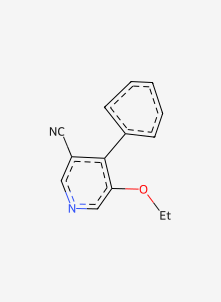 CCOc1cncc(C#N)c1-c1ccccc1